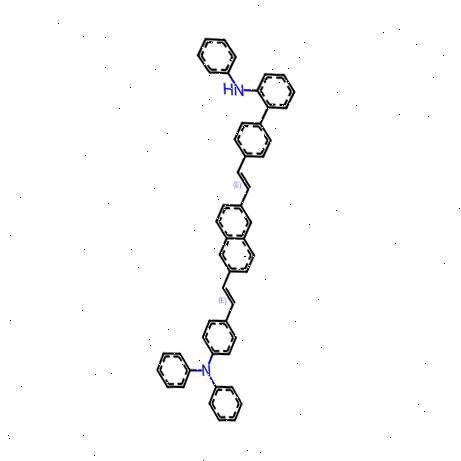 C(=C\c1ccc2cc(/C=C/c3ccc(N(c4ccccc4)c4ccccc4)cc3)ccc2c1)/c1ccc(-c2ccccc2Nc2ccccc2)cc1